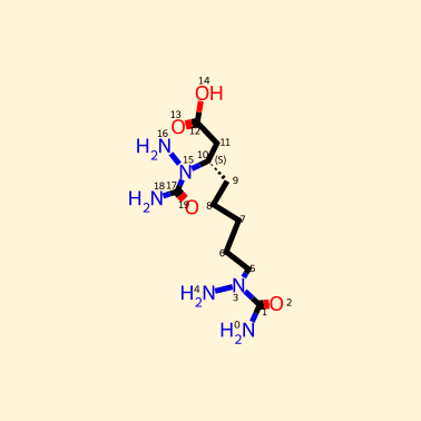 NC(=O)N(N)CCCCC[C@@H](CC(=O)O)N(N)C(N)=O